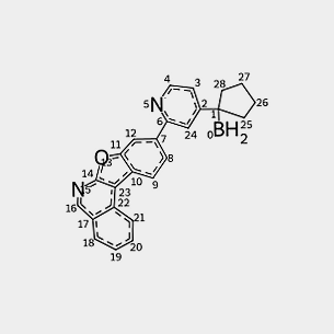 BC1(c2ccnc(-c3ccc4c(c3)oc3ncc5ccccc5c34)c2)CCCC1